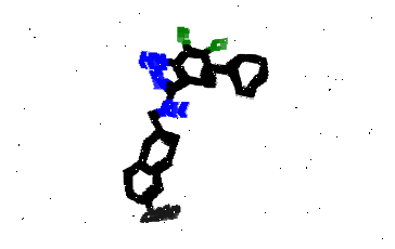 COc1ccc2cc(CNc3n[nH]c4c(F)c(Cl)c(-c5ccccc5)cc34)ccc2c1